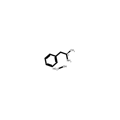 C[C@@H](N)Cc1ccccc1.O=S(=O)(O)O